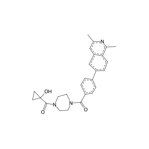 Cc1cc2cc(-c3ccc(C(=O)N4CCN(C(=O)C5(O)CC5)CC4)cc3)ccc2c(C)n1